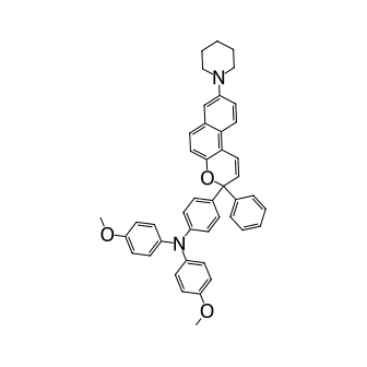 COc1ccc(N(c2ccc(OC)cc2)c2ccc(C3(c4ccccc4)C=Cc4c(ccc5cc(N6CCCCC6)ccc45)O3)cc2)cc1